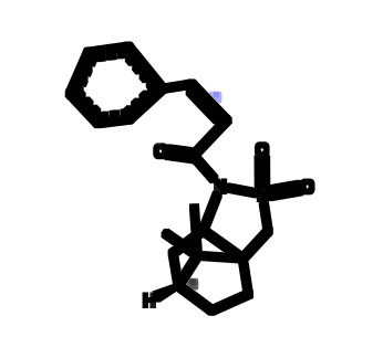 CC1(C)[C@@H]2CCC13CS(=O)(=O)N(C(=O)/C=C\c1ccccc1)C3C2